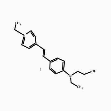 CCN(CCO)c1ccc(/C=C/c2cc[n+](CC)cc2)cc1.[I-]